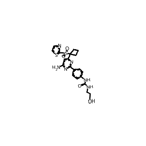 Nc1cc(C2(S(=O)(=O)c3nccs3)CCC2)nc(-c2ccc(NC(=O)NCCO)cc2)n1